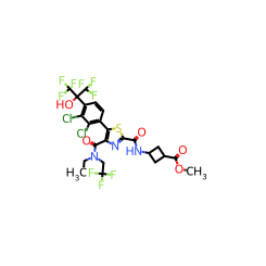 CCN(CC(F)(F)F)C(=O)c1nc(C(=O)NC2CC(C(=O)OC)C2)sc1-c1ccc(C(O)(C(F)(F)F)C(F)(F)F)c(Cl)c1Cl